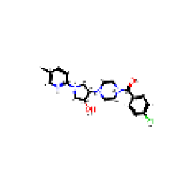 Cc1ccc(N2CC(N3CCN(C(=O)c4ccc(Cl)cc4)CC3)[C@@H](O)C2)nc1